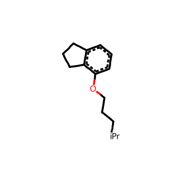 CC(C)CCCOc1cccc2c1CCC2